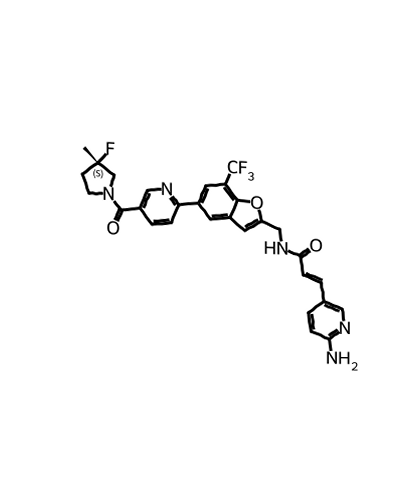 C[C@]1(F)CCN(C(=O)c2ccc(-c3cc(C(F)(F)F)c4oc(CNC(=O)C=Cc5ccc(N)nc5)cc4c3)nc2)C1